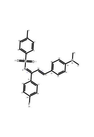 Cc1ccc(S(=O)(=O)/N=C(\C=C\c2ccc(N(C)C)cc2)c2ccc(F)cc2)cc1